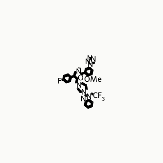 COc1ccc(-n2cnnn2)cc1C(=O)N(C)CC(CCN1CCCN(c2nc3ccccc3n2CC(F)(F)F)CC1)c1ccc(F)cc1